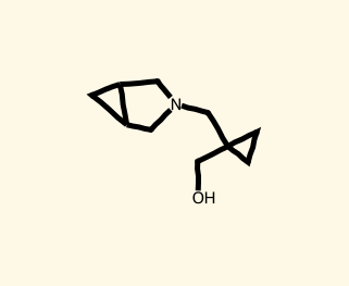 OCC1(CN2CC3CC3C2)CC1